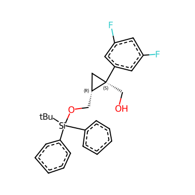 CC(C)(C)[Si](OC[C@@H]1C[C@@]1(CO)c1cc(F)cc(F)c1)(c1ccccc1)c1ccccc1